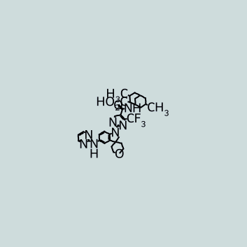 CC1CC2CC(C)C(NC(=O)c3cnc(N4CC5(CCOCC5)c5cc(Nc6ncccn6)ccc54)nc3C(F)(F)F)(C(=O)O)C(C1)C2